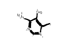 Cc1ncnc(N)c1C=O